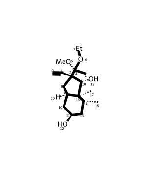 C=C[C@]1([C@@](C)(OC)OCC)C[C@@H]2C[C@H](O)C[C@@H](C)[C@]2(C)[C@H]1O